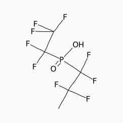 CC(F)(F)C(F)(F)P(=O)(O)C(F)(F)C(F)(F)F